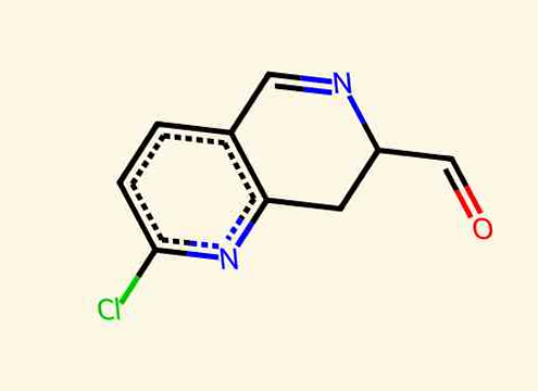 O=CC1Cc2nc(Cl)ccc2C=N1